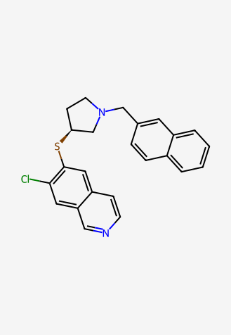 Clc1cc2cnccc2cc1S[C@H]1CCN(Cc2ccc3ccccc3c2)C1